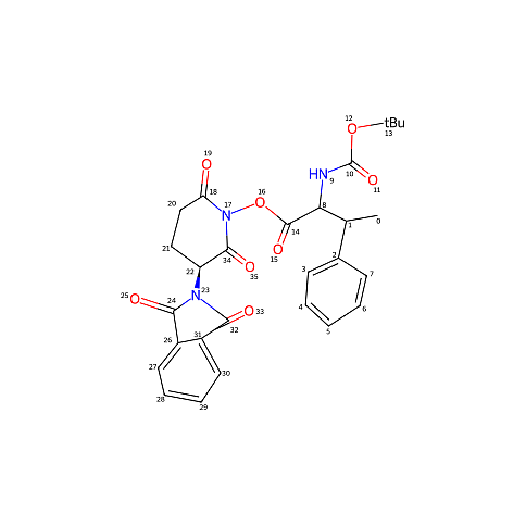 CC(c1ccccc1)C(NC(=O)OC(C)(C)C)C(=O)ON1C(=O)CC[C@H](N2C(=O)c3ccccc3C2=O)C1=O